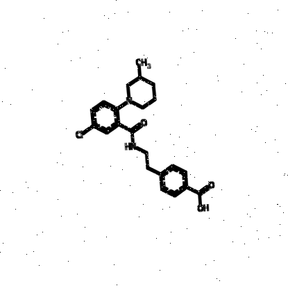 CC1CCCN(c2ccc(Cl)cc2C(=O)NCCc2ccc(C(=O)O)cc2)C1